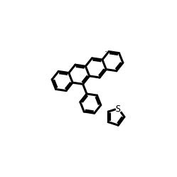 [c]1cccc2cc3c(-c4ccccc4)c4ccccc4cc3cc12.c1ccsc1